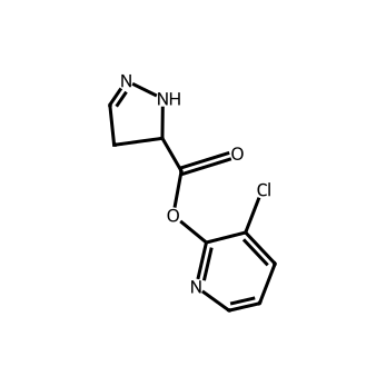 O=C(Oc1ncccc1Cl)C1CC=NN1